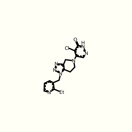 CCc1ncccc1Cn1nnc2c1CCN(c1cn[nH]c(=O)c1Cl)C2